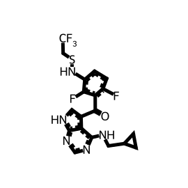 O=C(c1c(F)ccc(NSCC(F)(F)F)c1F)c1c[nH]c2ncnc(NCC3CC3)c12